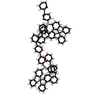 c1ccc(-c2ccc(N(c3ccc(-c4cccc(-c5ccc(-c6ccc(N(c7ccc8c(c7)C7(c9ccccc9-8)c8ccccc8-c8c7cc7c9c(cccc89)-c8ccccc8-7)c7ccccc7-c7ccccc7)cc6)cc5)c4)cc3)c3ccc4c(c3)C3(c5ccccc5-4)c4ccccc4-c4cc5c6ccccc6c6ccccc6c5cc43)cc2)cc1